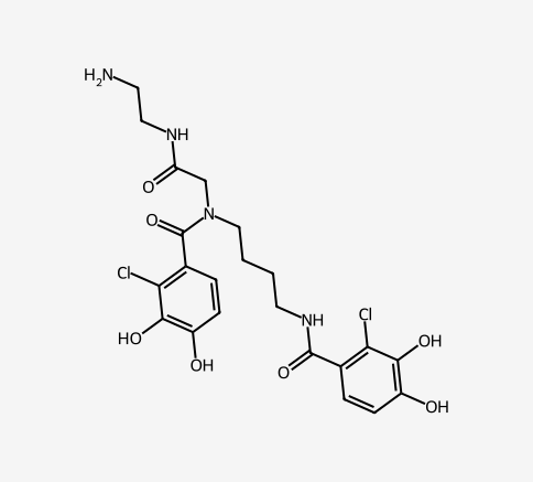 NCCNC(=O)CN(CCCCNC(=O)c1ccc(O)c(O)c1Cl)C(=O)c1ccc(O)c(O)c1Cl